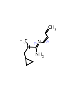 C=C/C=C\N=C(/N)N(C)CC1CC1